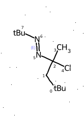 CC(C)(C)CC(C)(Cl)/N=N/C(C)(C)C